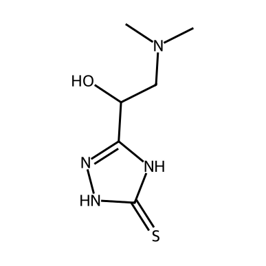 CN(C)CC(O)c1n[nH]c(=S)[nH]1